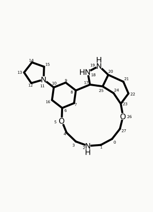 C1CNCCOC2CC(CC(N3CCCC3)C2)C2NNC3CCC(CC32)OC1